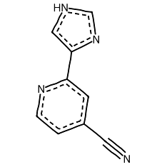 N#Cc1ccnc(-c2c[nH]cn2)c1